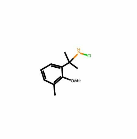 COc1c(C)cccc1C(C)(C)PCl